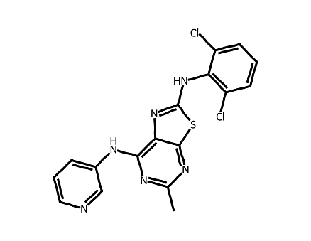 Cc1nc(Nc2cccnc2)c2nc(Nc3c(Cl)cccc3Cl)sc2n1